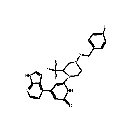 O=c1cc(-c2ccnc3[nH]ccc23)cc(N2CCN(SCc3ccc(F)cc3)CC2C(F)(F)F)[nH]1